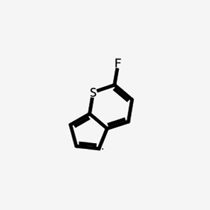 Fc1ccc2[c]ccc-2s1